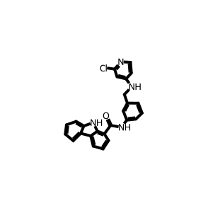 O=C(Nc1cccc(CNc2ccnc(Cl)c2)c1)c1cccc2c1[nH]c1ccccc12